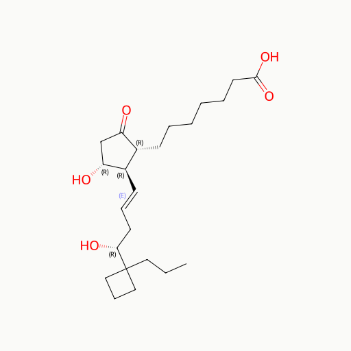 CCCC1([C@H](O)C/C=C/[C@H]2[C@H](O)CC(=O)[C@@H]2CCCCCCC(=O)O)CCC1